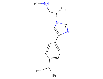 CCC(c1ccc(-c2cn([C@H](CNC(C)C)C(F)(F)F)cn2)cc1)C(C)C